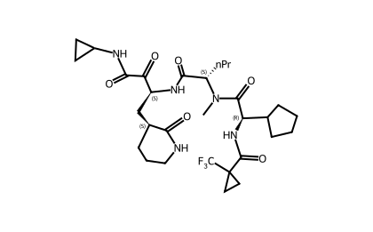 CCC[C@@H](C(=O)N[C@@H](C[C@@H]1CCCNC1=O)C(=O)C(=O)NC1CC1)N(C)C(=O)[C@H](NC(=O)C1(C(F)(F)F)CC1)C1CCCC1